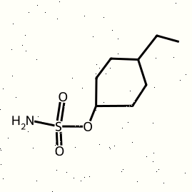 CCC1CCC(OS(N)(=O)=O)CC1